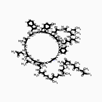 CC(=O)N[C@@H](CC(C)C)C(=O)N[C@H](C(=O)C(=O)[C@H](Cc1ccccc1)NN[C@]1(C)CCCCCC/C=C/CCC[C@@](C)(C(=O)CN[C@@H](C)C(=O)CCN[C@@H](C)C(=O)CCN[C@@H](C)C(=O)CNC(C)(C)C(=O)CN[C@@H](C)C(=O)CN[C@H](C)C(N)=O)NC(=O)[C@H](CC(C)C)NC(=O)[C@H](CCC(N)=O)NCN[C@@H](C)C(=O)CC(=O)[C@H](Cc2c[nH]c3ccccc23)NN[C@@H](Cc2ccc(O)cc2)C(=O)N[C@@H](CCC(=O)O)C(=O)C1=O)[C@@H](C)O